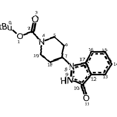 CC(C)(C)OC(=O)N1CCC(n2[nH]c(=O)c3ccccc32)CC1